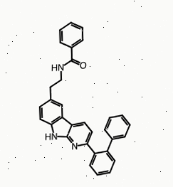 O=C(NCCc1ccc2[nH]c3nc(-c4ccccc4-c4ccccc4)ccc3c2c1)c1ccccc1